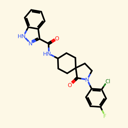 O=C(NC1CCC2(CC1)CCN(c1ccc(F)cc1Cl)C2=O)c1n[nH]c2ccccc12